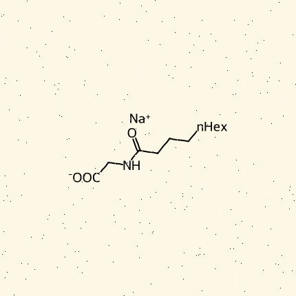 CCCCCCCCCC(=O)NCC(=O)[O-].[Na+]